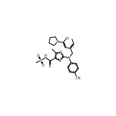 C/C=C(\C=C(/CC)N1CCCC1)CN(c1ccc(C#N)cc1)c1nc(C(=O)NS(C)(=O)=O)c(C)s1